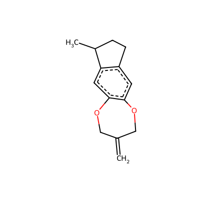 C=C1COc2cc3c(cc2OC1)C(C)CC3